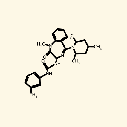 Cc1cccc(NC(=O)N[C@@H]2N=C(N3C(C)CC(C)CC3C)c3ccccc3N(C)C2=O)c1